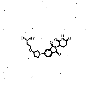 CCN(CCOC1CCN(c2ccc3c(c2)C(=O)N(C2CCC(=O)NC2=O)C3=O)C1)C(C)C